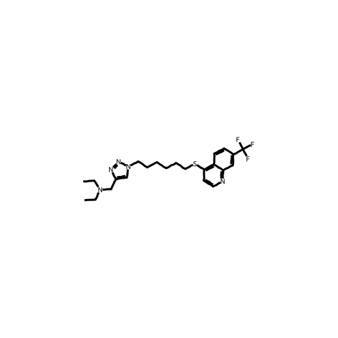 CCN(CC)Cc1cn(CCCCCCSc2ccnc3cc(C(F)(F)F)ccc23)nn1